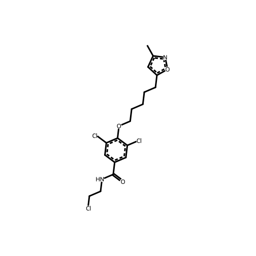 Cc1cc(CCCCCOc2c(Cl)cc(C(=O)NCCCl)cc2Cl)on1